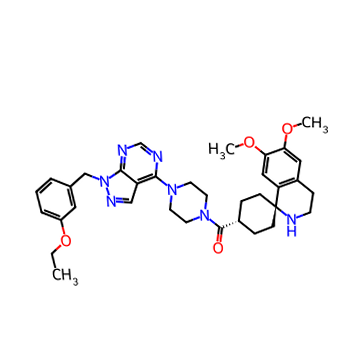 CCOc1cccc(Cn2ncc3c(N4CCN(C(=O)[C@H]5CC[C@]6(CC5)NCCc5cc(OC)c(OC)cc56)CC4)ncnc32)c1